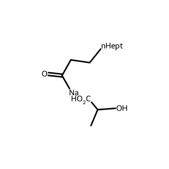 CC(O)C(=O)O.CCCCCCCCC[C](=O)[Na]